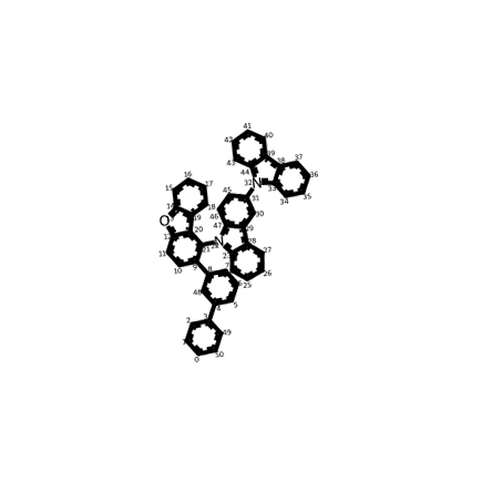 c1ccc(-c2cccc(-c3ccc4oc5ccccc5c4c3-n3c4ccccc4c4cc(-n5c6ccccc6c6ccccc65)ccc43)c2)cc1